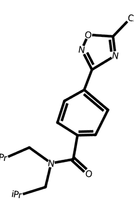 CC(C)CN(CC(C)C)C(=O)c1ccc(-c2noc(C(F)(F)F)n2)cc1